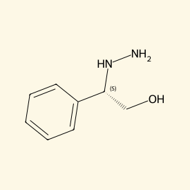 NN[C@H](CO)c1ccccc1